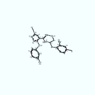 Cc1ccc(CC2CON=C(c3cc(C)nnc3Oc3cccc(Cl)c3)N2)c(Br)c1